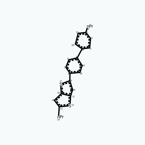 CCCc1ccc(-c2ccc(-c3cc4sc(CCC)cc4s3)cc2)cc1